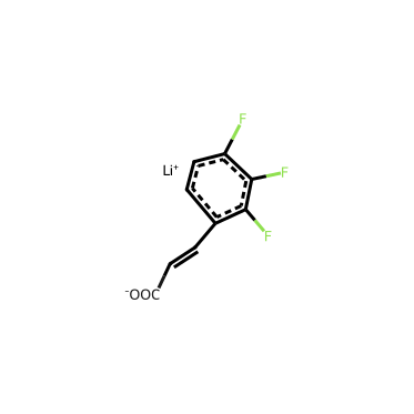 O=C([O-])C=Cc1ccc(F)c(F)c1F.[Li+]